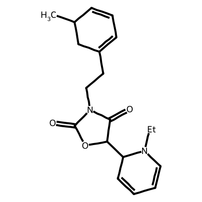 CCN1C=CC=CC1C1OC(=O)N(CCC2=CC=CC(C)C2)C1=O